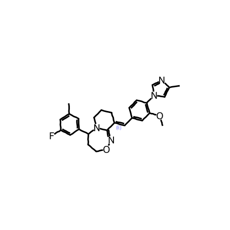 COc1cc(/C=C2\CCCN3C2=NOCCC3c2cc(C)cc(F)c2)ccc1-n1cnc(C)c1